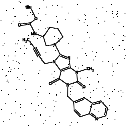 CC#CCn1c(N2CCCC(NC(=O)OC(C)(C)C)C2)nc2c1c(=O)n(Cc1ccc3ncccc3c1)c(=O)n2C